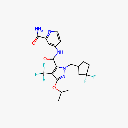 CC(C)Oc1nn(CC2CCC(F)(F)C2)c(C(=O)Nc2ccnc(C(N)=O)c2)c1C(F)(F)F